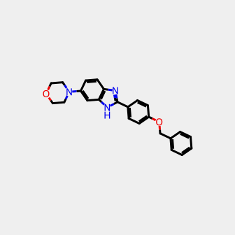 c1ccc(COc2ccc(-c3nc4ccc(N5CCOCC5)cc4[nH]3)cc2)cc1